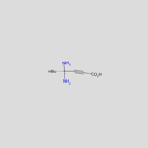 CCCCC(N)(N)C#CC(=O)O